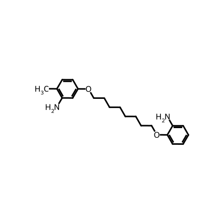 Cc1ccc(OCCCCCCCCOc2ccccc2N)cc1N